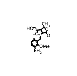 Bc1ccc(F)c(CN2O[C@@H](CO)C3C2C(=O)O[C@H]3C)c1OC